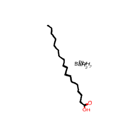 CCCCCCCCCCCCCCCCCC(=O)O.[BaH2].[PbH2]